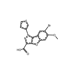 COc1cc2oc3c(C(=O)O)nn(-c4ccsc4)c3c2cc1Br